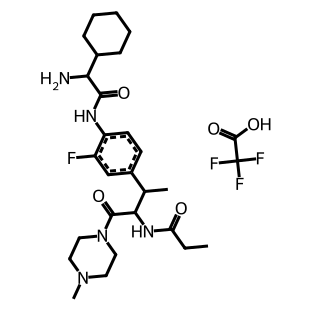 CCC(=O)NC(C(=O)N1CCN(C)CC1)C(C)c1ccc(NC(=O)C(N)C2CCCCC2)c(F)c1.O=C(O)C(F)(F)F